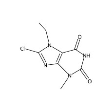 CCn1c(Cl)nc2c1c(=O)[nH]c(=O)n2C